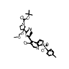 COCOC1(c2ncc(-c3c(Cl)cnc4c3ccn4S(=O)(=O)c3ccc(C)cc3)s2)CCN(C(=O)OC(C)(C)C)C1